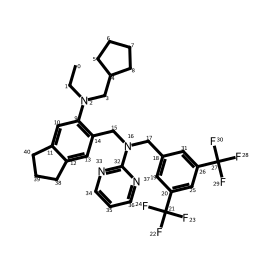 CCN(CC1CCCC1)c1cc2c(cc1CN(Cc1cc(C(F)(F)F)cc(C(F)(F)F)c1)c1ncccn1)CCC2